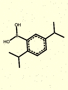 CC(C)c1ccc(C(C)C)c(B(O)O)c1